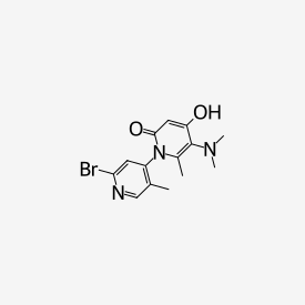 Cc1cnc(Br)cc1-n1c(C)c(N(C)C)c(O)cc1=O